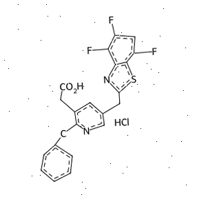 Cl.O=C(O)Cc1cc(Cc2nc3c(F)c(F)cc(F)c3s2)cnc1Cc1ccccc1